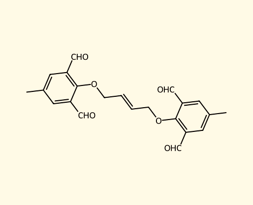 Cc1cc(C=O)c(OCC=CCOc2c(C=O)cc(C)cc2C=O)c(C=O)c1